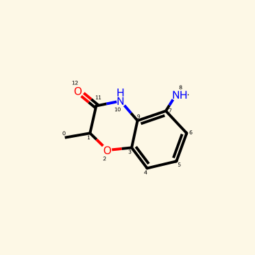 CC1Oc2cccc([NH])c2NC1=O